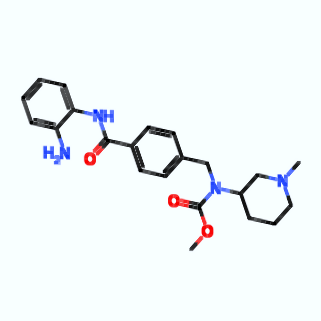 COC(=O)N(Cc1ccc(C(=O)Nc2ccccc2N)cc1)C1CCCN(C)C1